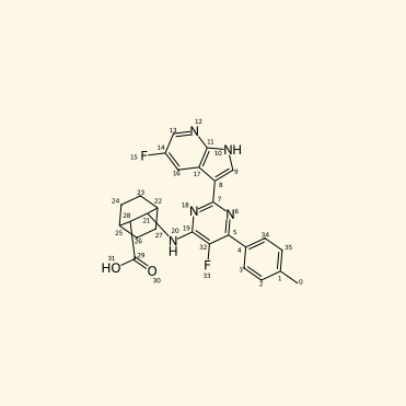 Cc1ccc(-c2nc(-c3c[nH]c4ncc(F)cc34)nc(NC3C4CCC(CC4)C3C(=O)O)c2F)cc1